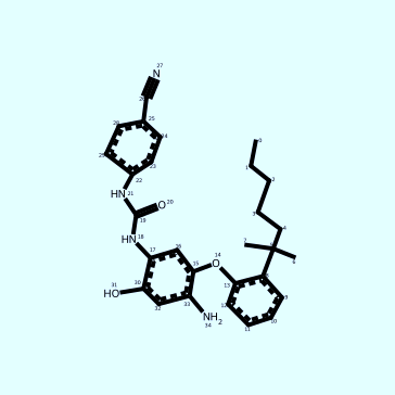 CCCCCC(C)(C)c1ccccc1Oc1cc(NC(=O)Nc2ccc(C#N)cc2)c(O)cc1N